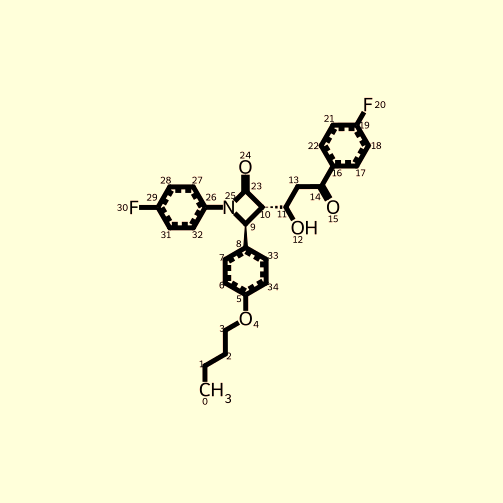 CCCCOc1ccc([C@@H]2[C@@H](C(O)CC(=O)c3ccc(F)cc3)C(=O)N2c2ccc(F)cc2)cc1